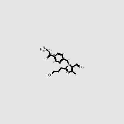 CCCCc1nc(I)c(C=O)n1Cc1ccc(C(=O)OC)cc1